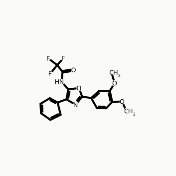 COc1ccc(-c2nc(-c3ccccc3)c(NC(=O)C(F)(F)F)o2)cc1OC